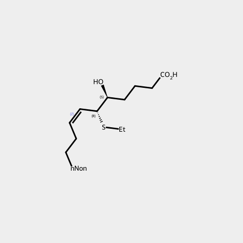 CCCCCCCCCCC/C=C\[C@@H](SCC)[C@@H](O)CCCC(=O)O